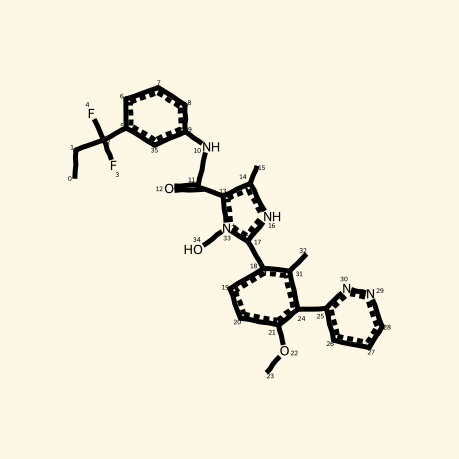 CCC(F)(F)c1cccc(NC(=O)c2c(C)[nH]c(-c3ccc(OC)c(-c4cccnn4)c3C)[n+]2O)c1